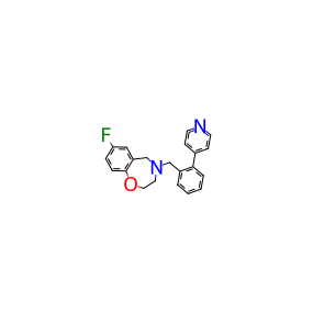 Fc1ccc2c(c1)CN(Cc1ccccc1-c1ccncc1)CCO2